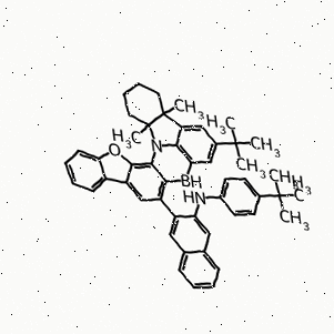 CC(C)(C)c1ccc(Nc2cc3ccccc3cc2-c2cc3c(oc4ccccc43)c3c2Bc2cc(C(C)(C)C)cc4c2N3C2(C)CCCCC42C)cc1